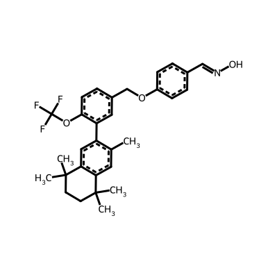 Cc1cc2c(cc1-c1cc(COc3ccc(C=NO)cc3)ccc1OC(F)(F)F)C(C)(C)CCC2(C)C